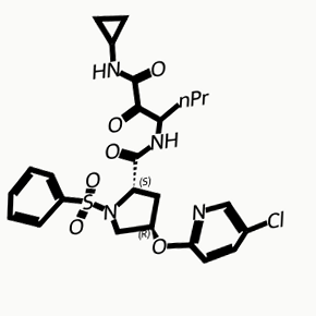 CCCC(NC(=O)[C@@H]1C[C@@H](Oc2ccc(Cl)cn2)CN1S(=O)(=O)c1ccccc1)C(=O)C(=O)NC1CC1